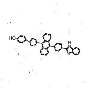 Oc1ccc(-c2ccc(-c3c4ccccc4c(-c4ccc(-c5nc6ccccc6[nH]5)cc4)c4ccccc34)cc2)cc1